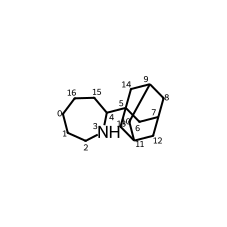 C1CCNC(C23CC4CC(CC(C4)C2)C3)CC1